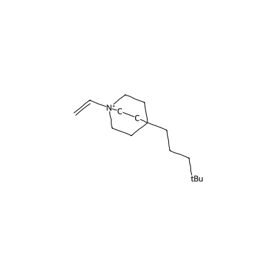 C=C[N+]12CCC(CCCC(C)(C)C)(CC1)CC2